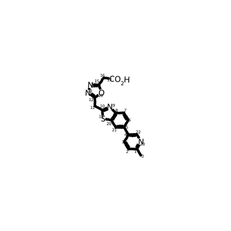 Cc1ccc(-c2ccc3nc(Cc4nnc(CC(=O)O)o4)sc3c2)cn1